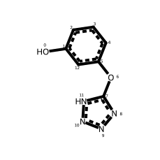 Oc1cccc(Oc2nnn[nH]2)c1